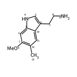 COc1cc2[nH]cc(CCN)c2cc1C